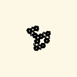 c1ccc2c(c1)Sc1cccc3c1B2c1cc2c(cc1O3)c1cc3c(cc1c1cc4c(cc21)Oc1cccc2c1B4c1ccccc1S2)B1c2ccccc2Sc2cccc(c21)O3